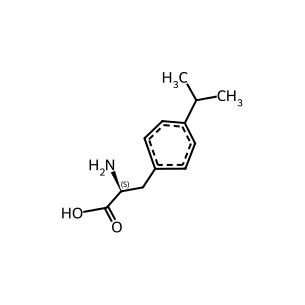 CC(C)c1ccc(C[C@H](N)C(=O)O)cc1